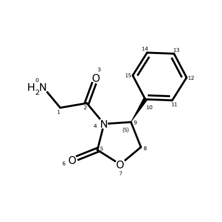 NCC(=O)N1C(=O)OC[C@@H]1c1ccccc1